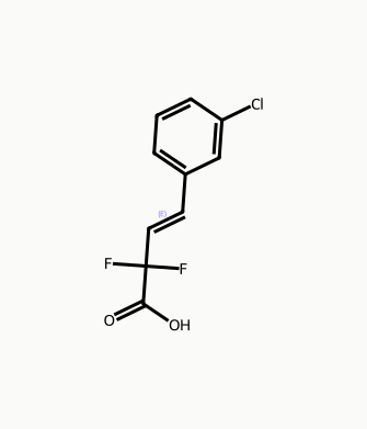 O=C(O)C(F)(F)/C=C/c1cccc(Cl)c1